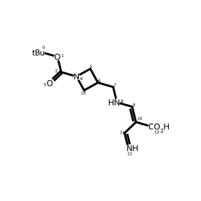 CC(C)(C)OC(=O)N1CC(CN/C=C(\C=N)C(=O)O)C1